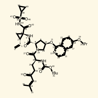 C=C[C@@H]1C[C@]1(NC(=O)[C@@H]1C[C@@H](Oc2nccc3cc(OC(C)C)ccc23)CN1C(=O)[C@H](CCC(=O)C=C(C)C)NC(=O)OC(C)(C)C)C(=O)NS(=O)(=O)C1CC1